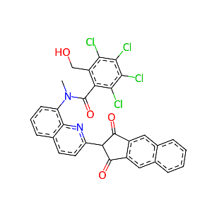 CN(C(=O)c1c(Cl)c(Cl)c(Cl)c(Cl)c1CO)c1cccc2ccc(C3C(=O)c4cc5ccccc5cc4C3=O)nc12